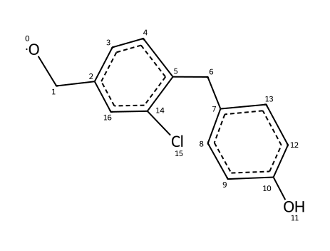 [O]Cc1ccc(Cc2ccc(O)cc2)c(Cl)c1